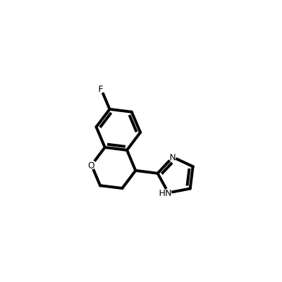 Fc1ccc2c(c1)OCCC2c1ncc[nH]1